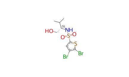 CC(C)[C@@H](CO)NS(=O)(=O)c1cc(Br)c(Br)s1